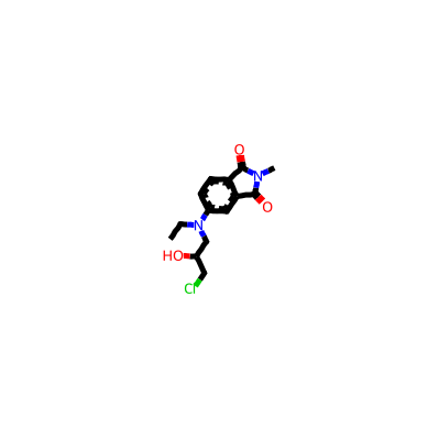 CCN(CC(O)CCl)c1ccc2c(c1)C(=O)N(C)C2=O